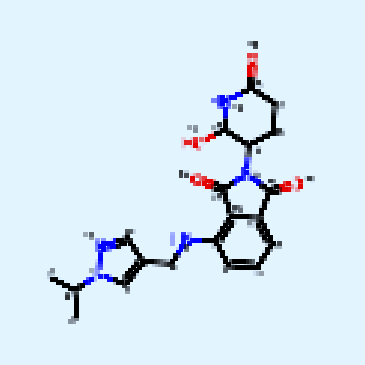 CC(C)n1cc(CNc2cccc3c2C(=O)N(C2CCC(=O)NC2O)C3=O)cn1